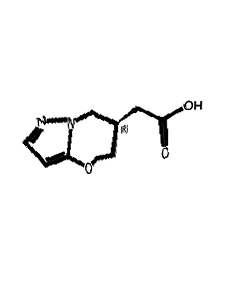 O=C(O)C[C@H]1COc2ccnn2C1